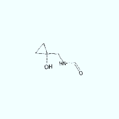 O=CNCC1(O)CC1